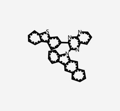 c1ccc2cc3c(cc2c1)c1ccccc1n3-c1nc2cccnc2nc1-c1ccc2c(c1)sc1ccccc12